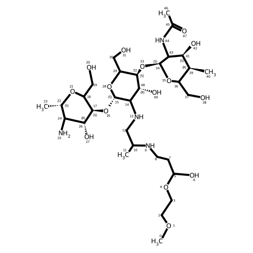 COCCOC(O)CCNC(C)CNC1[C@H](O[C@@H]2C(CO)O[C@@H](C)C(N)[C@H]2O)OC(CO)[C@@H](O[C@@H]2OC(CO)[C@H](C)[C@H](O)C2NC(C)=O)[C@@H]1O